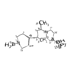 BN1CCC(C(C)CC(C)N2CCN(BC(C)C)CC2)CC1